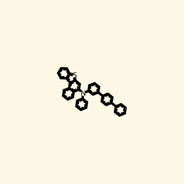 c1ccc(-c2ccc(-c3cccc(N(c4ccccc4)c4cc5sc6ccccc6c5c5ccccc45)c3)cc2)cc1